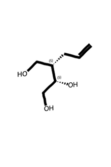 C=CC[C@@H](CO)[C@H](O)CO